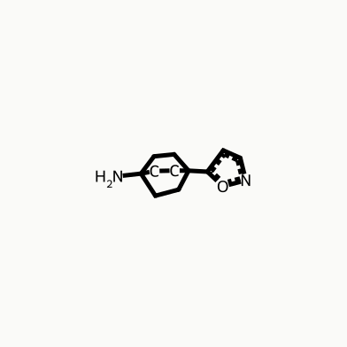 NC12CCC(c3ccno3)(CC1)CC2